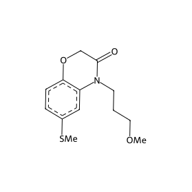 COCCCN1C(=O)COc2ccc(SC)cc21